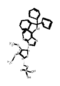 CO[C@@H]1[C@H](OC)[C@@H](COP(=O)(O)S)O[C@H]1n1cnc2c(NC(c3ccccc3)(c3ccccc3)c3ccccc3)ncnc21